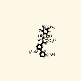 COc1cccc(-c2cc(C(CC(=O)O)NC(=O)Nc3c(O)cc(C)n(C)c3=O)ccc2OC)c1